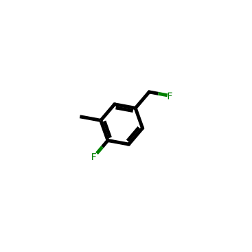 Cc1cc(CF)ccc1F